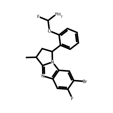 CC1CC(c2ccccc2OC(F)P)n2c1nc1cc(F)c(Br)cc12